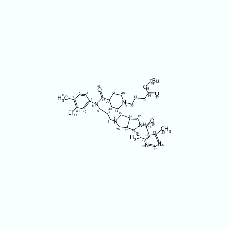 Cc1ccc(N(CCCN2CC3=CN(C(=O)c4c(C)ncnc4C)CC3C2)C(=O)C2CCN(CCCC(=O)OC(C)(C)C)CC2)cc1Cl